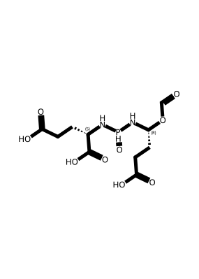 O=CO[C@H](CCC(=O)O)N[PH](=O)N[C@@H](CCC(=O)O)C(=O)O